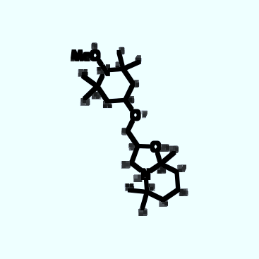 CON1C(C)(C)CC(OCC2CN3C(C)(C)CCCC3(C)O2)CC1(C)C